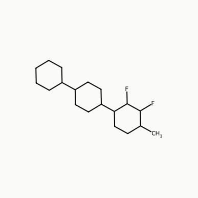 CC1CCC(C2CCC(C3CCCCC3)CC2)C(F)C1F